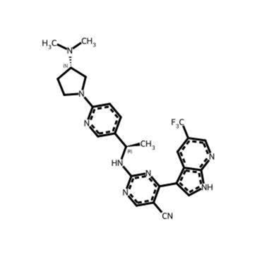 C[C@@H](Nc1ncc(C#N)c(-c2c[nH]c3ncc(C(F)(F)F)cc23)n1)c1ccc(N2CC[C@H](N(C)C)C2)nc1